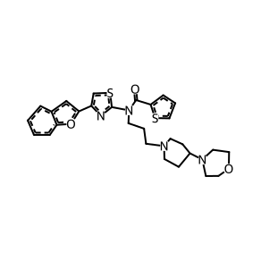 O=C(c1cccs1)N(CCCN1CCC(N2CCOCC2)CC1)c1nc(-c2cc3ccccc3o2)cs1